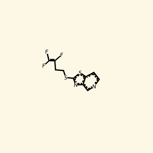 FC(F)=C(F)CCSc1nc2cnccc2s1